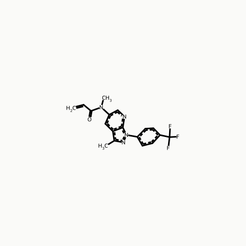 C=CC(=O)N(C)c1cnc2c(c1)c(C)nn2-c1ccc(C(F)(F)F)cc1